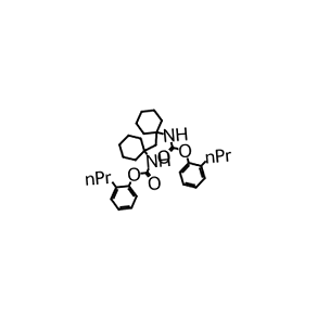 CCCc1ccccc1OC(=O)NC1(CC2(NC(=O)Oc3ccccc3CCC)CCCCC2)CCCCC1